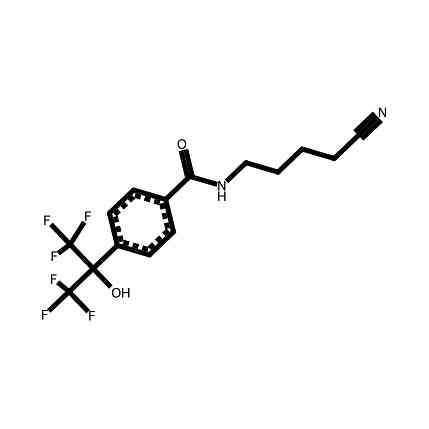 N#CCCCCNC(=O)c1ccc(C(O)(C(F)(F)F)C(F)(F)F)cc1